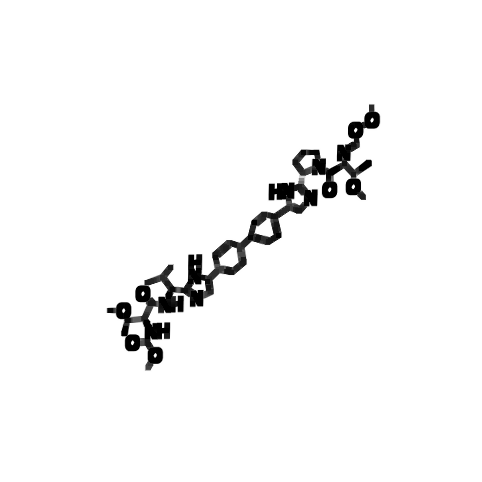 COO/C=N/[C@H](C(=O)N1CCC[C@H]1c1ncc(-c2ccc(-c3ccc(-c4cnc([C@@H](NC(=O)[C@@H](NC(=O)OC)[C@@H](C)OC)C(C)C)[nH]4)cc3)cc2)[nH]1)[C@@H](C)OC